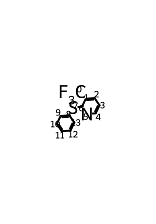 FC(F)(F)c1cccnc1Sc1ccccc1